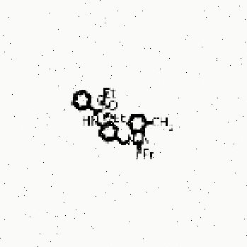 CCCc1nc2c(C)cccc2n1Cc1ccc(NC(c2ccccc2)P(=O)(OCC)OCC)cc1